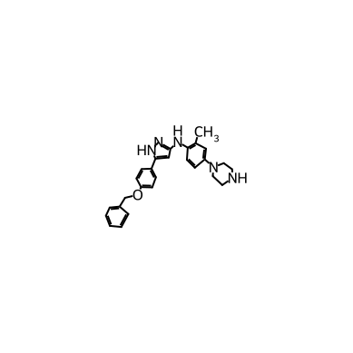 Cc1cc(N2CCNCC2)ccc1Nc1cc(-c2ccc(OCc3ccccc3)cc2)[nH]n1